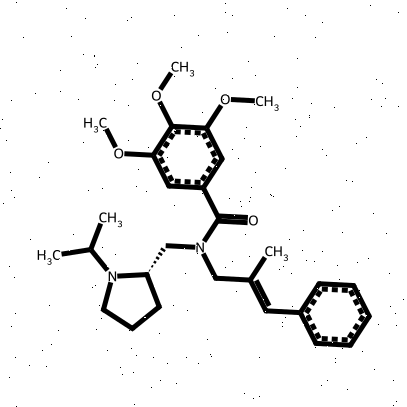 COc1cc(C(=O)N(C/C(C)=C/c2ccccc2)C[C@@H]2CCCN2C(C)C)cc(OC)c1OC